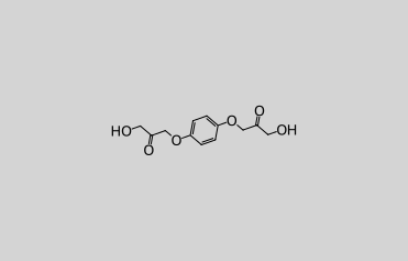 O=C(CO)COc1ccc(OCC(=O)CO)cc1